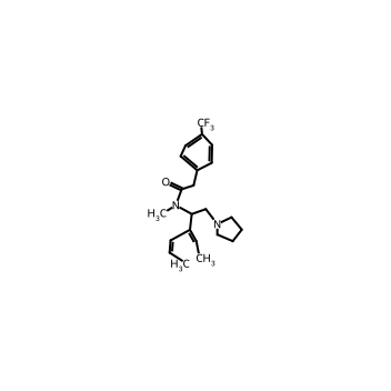 C/C=C\C(=C/C)C(CN1CCCC1)N(C)C(=O)Cc1ccc(C(F)(F)F)cc1